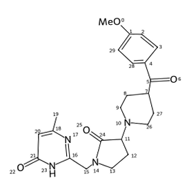 COc1ccc(C(=O)C2CCN(C3CCN(Cc4nc(C)cc(=O)[nH]4)C3=O)CC2)cc1